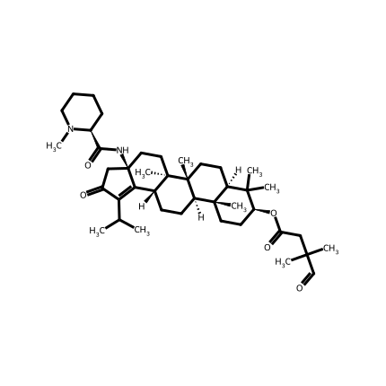 CC(C)C1=C2[C@H]3CC[C@@H]4[C@@]5(C)CC[C@H](OC(=O)CC(C)(C)C=O)C(C)(C)[C@@H]5CC[C@@]4(C)[C@]3(C)CC[C@@]2(NC(=O)[C@@H]2CCCCN2C)CC1=O